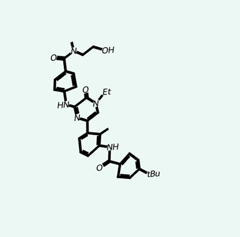 CCn1cc(-c2cccc(NC(=O)c3ccc(C(C)(C)C)cc3)c2C)nc(Nc2ccc(C(=O)N(C)CCO)cc2)c1=O